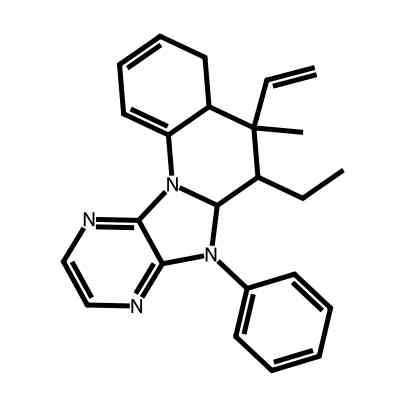 C=CC1(C)C2CC=CC=C2N2c3nccnc3N(c3ccccc3)C2C1CC